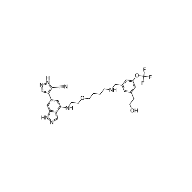 N#Cc1[nH]ncc1-c1cc(NCCOCCCCNCc2cc(CCO)cc(OC(F)(F)F)c2)c2cn[nH]c2c1